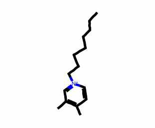 CCCCCCCC[n+]1ccc(C)c(C)c1